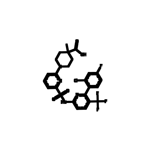 CC1(C(=O)O)CCN(c2cccc(S(=O)(=O)Nc3ccc(C(F)(F)F)c(-c4ccc(F)cc4Cl)n3)n2)CC1